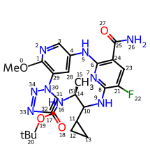 COc1ncc(Nc2nc(NC(C3CC3)[C@H](C)NC(=O)OC(C)(C)C)c(F)cc2C(N)=O)cc1-n1ccnn1